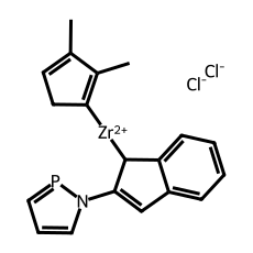 CC1=CC[C]([Zr+2][CH]2C(n3cccp3)=Cc3ccccc32)=C1C.[Cl-].[Cl-]